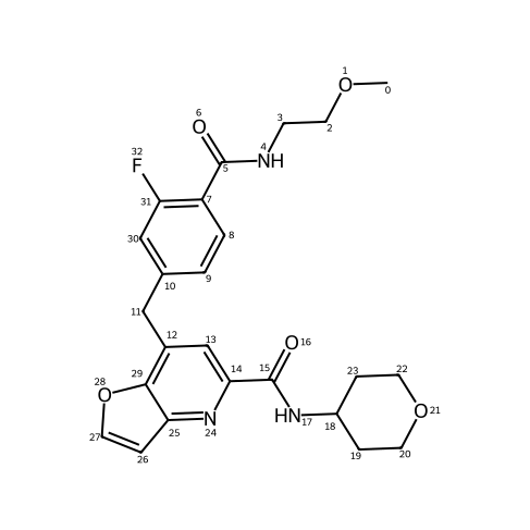 COCCNC(=O)c1ccc(Cc2cc(C(=O)NC3CCOCC3)nc3ccoc23)cc1F